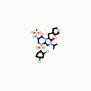 CC(C)N1CC2N(C(=O)C(NS(C)(=O)=O)CN2S(=O)(=O)c2ccc(Cl)cc2Cl)C(Cc2ccncc2)C1=O